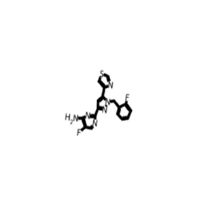 Nc1nc(-c2cc(-c3cscn3)n(Cc3ccccc3F)n2)ncc1F